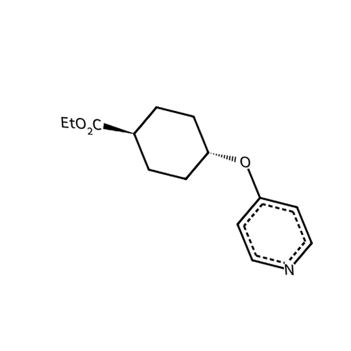 CCOC(=O)[C@H]1CC[C@H](Oc2ccncc2)CC1